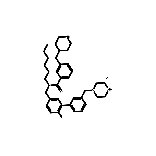 CCCCCCN(Cc1ccc(F)c(-c2cccc(CN3CCN[C@@H](C)C3)c2)c1)C(=O)c1cccc(CC2CCNCC2)c1